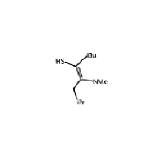 CCC(C)/C(S)=C(/CC(C)C)NC